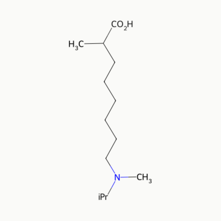 CC(CCCCCCN(C)C(C)C)C(=O)O